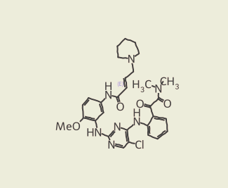 COc1ccc(NC(=O)/C=C/CN2CCCCC2)cc1Nc1ncc(Cl)c(Nc2ccccc2C(=O)C(=O)N(C)C)n1